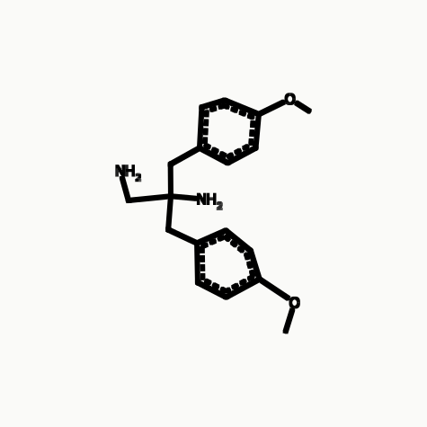 COc1ccc(CC(N)(CN)Cc2ccc(OC)cc2)cc1